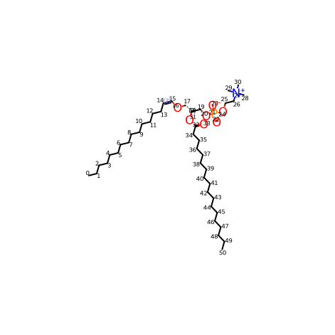 CCCCCCCCCCCCCC/C=C\OC[C@H](COP(=O)([O-])OCC[N+](C)(C)C)OC(=O)CCCCCCCCCCCCCCCCC